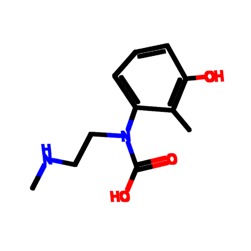 CNCCN(C(=O)O)c1cccc(O)c1C